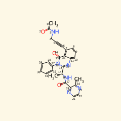 CC(=O)NCC#Cc1cccc2nc(C(C)NC(=O)c3nccnc3C)n(-c3ccccc3)c(=O)c12